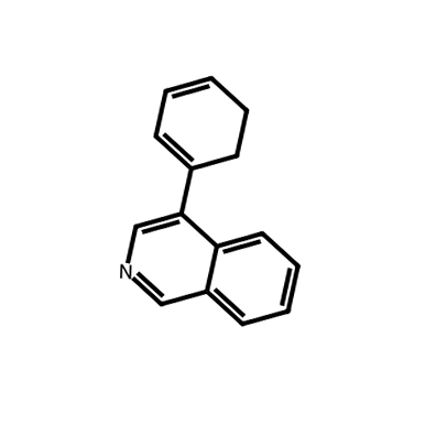 C1=CCCC(c2cncc3ccccc23)=C1